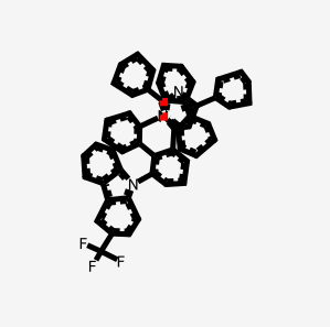 FC(F)(F)c1ccc2c(c1)c1ccccc1n2-c1cccc(-c2cc(-c3ccccc3)nc(-c3ccccc3)n2)c1-c1ccccc1-n1c2ccccc2c2ccccc21